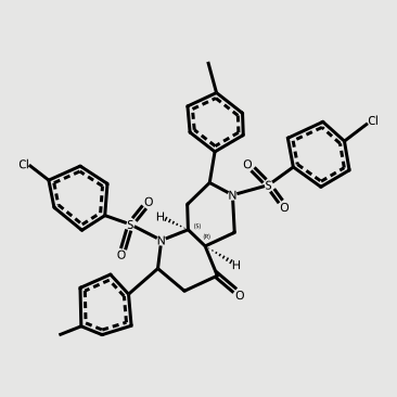 Cc1ccc(C2C[C@H]3[C@@H](CN2S(=O)(=O)c2ccc(Cl)cc2)C(=O)CC(c2ccc(C)cc2)N3S(=O)(=O)c2ccc(Cl)cc2)cc1